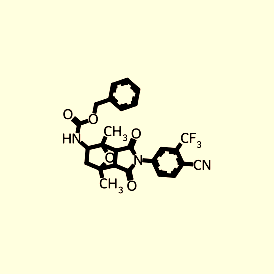 CC12CC(NC(=O)OCc3ccccc3)C(C)(O1)C1C(=O)N(c3ccc(C#N)c(C(F)(F)F)c3)C(=O)C12